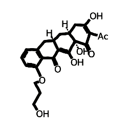 CC(=O)C1=C(O)C[C@@H]2C[C@@H]3Cc4cccc(OCCCO)c4C(=O)C3=C(O)[C@]2(O)C1=O